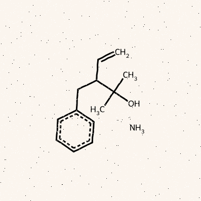 C=CC(Cc1ccccc1)C(C)(C)O.N